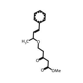 COC(=O)CC(=O)CCOC(C)/C=C/c1ccccc1